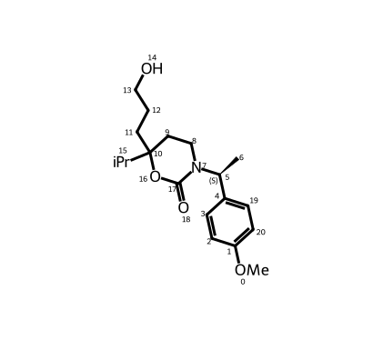 COc1ccc([C@H](C)N2CCC(CCCO)(C(C)C)OC2=O)cc1